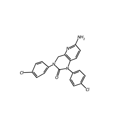 Nc1ccc2c(n1)CN(c1ccc(Cl)cc1)C(=O)N2c1ccc(Cl)cc1